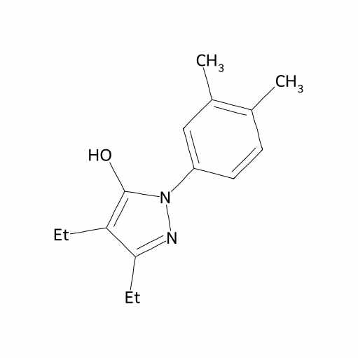 CCc1nn(-c2ccc(C)c(C)c2)c(O)c1CC